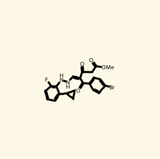 COC(=O)CC(=O)C(=CNNc1c(F)cccc1C1CC1)C(=O)c1ccc(Br)cc1